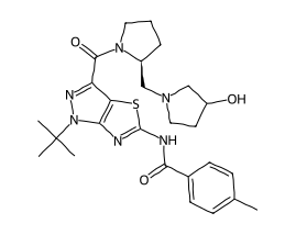 Cc1ccc(C(=O)Nc2nc3c(s2)c(C(=O)N2CCC[C@H]2CN2CCC(O)C2)nn3C(C)(C)C)cc1